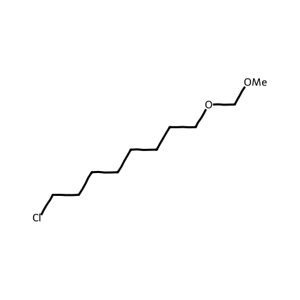 COCOCCCCCCCCCl